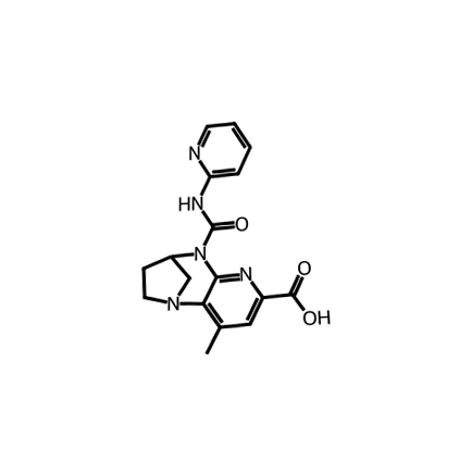 Cc1cc(C(=O)O)nc2c1N1CCC(C1)N2C(=O)Nc1ccccn1